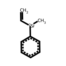 C=C[2Si](C)c1ccccc1